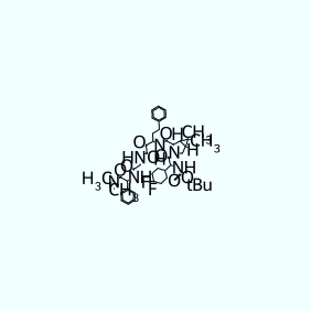 CN(C)C(=O)[C@@H](NC(=O)CNC(=O)C(=O)C(CCc1ccccc1)NC(=O)C1[C@H]2[C@@H](CN1C(=O)C(NC(=O)OC(C)(C)C)C1CCC(F)(F)CC1)C2(C)C)c1ccccc1